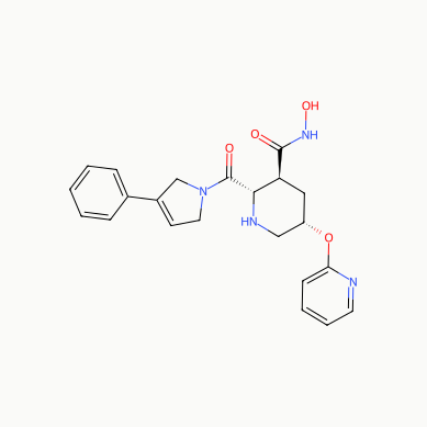 O=C(NO)[C@H]1C[C@H](Oc2ccccn2)CN[C@@H]1C(=O)N1CC=C(c2ccccc2)C1